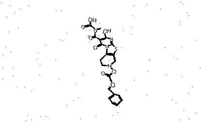 CN(C(=O)O)C(=O)c1c(O)nc2sc3c(n2c1=O)CCN(OC(=O)OCc1ccccc1)C3